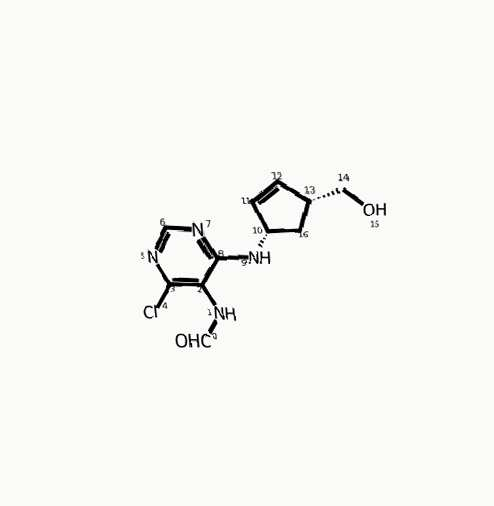 O=CNc1c(Cl)ncnc1N[C@@H]1C=C[C@H](CO)C1